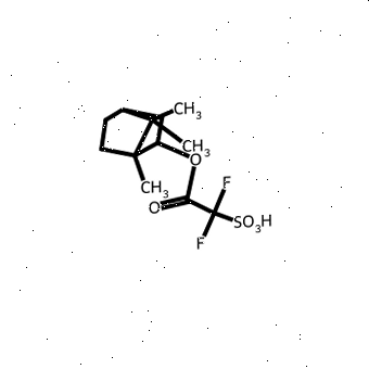 CC1(C)C2CCC1(C)C(OC(=O)C(F)(F)S(=O)(=O)O)C2